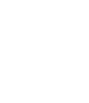 C=C.CC(C)(C)C=O